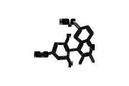 COc1cc(F)c(-c2c(C)c(C)nc3ccc(C(=O)O)cc23)c(F)c1